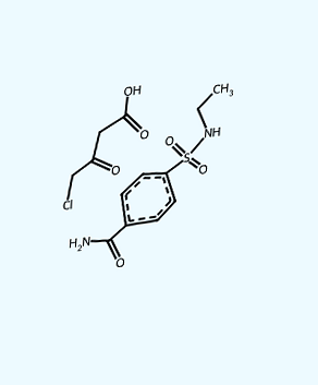 CCNS(=O)(=O)c1ccc(C(N)=O)cc1.O=C(O)CC(=O)CCl